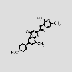 Cc1cn2nc(-c3cc(=O)n4cc(C5CCN(C)CC5)cc(C)c4n3)cc2c(C)n1